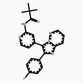 CC(C)(C)C(=O)Nc1cc(-c2c(-c3ccc(F)cc3)nc3cccnn23)ccn1